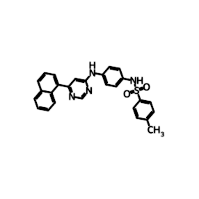 Cc1ccc(S(=O)(=O)Nc2ccc(Nc3cc(-c4cccc5ccccc45)ncn3)cc2)cc1